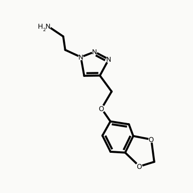 NCCn1cc(COc2ccc3c(c2)OCO3)nn1